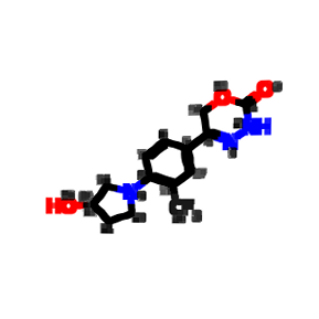 O=C1NN=C(c2ccc(N3CC[C@@H](O)C3)c(C(F)(F)F)c2)CO1